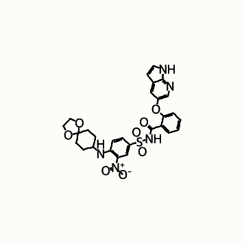 O=C(NS(=O)(=O)c1ccc(NC2CCC3(CC2)OCCO3)c([N+](=O)[O-])c1)c1ccccc1Oc1cnc2[nH]ccc2c1